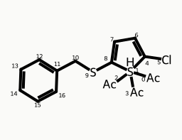 CC(=O)[SH]1(C(C)=O)(C(C)=O)C(Cl)=CC=C1SCc1ccccc1